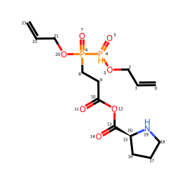 C=CCO[PH](=O)P(=O)(CCC(=O)OC(=O)[C@@H]1CCCN1)OCC=C